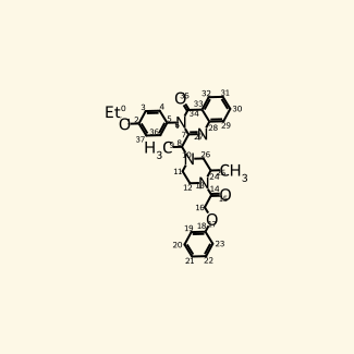 CCOc1ccc(-n2c(C(C)N3CCN(C(=O)COc4ccccc4)C(C)C3)nc3ccccc3c2=O)cc1